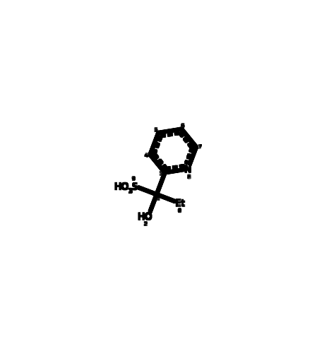 CCC(O)(c1ccccn1)S(=O)(=O)O